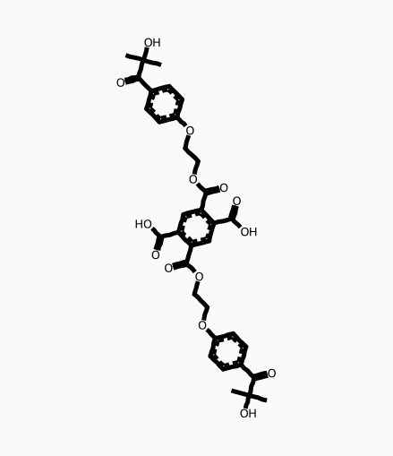 CC(C)(O)C(=O)c1ccc(OCCOC(=O)c2cc(C(=O)O)c(C(=O)OCCOc3ccc(C(=O)C(C)(C)O)cc3)cc2C(=O)O)cc1